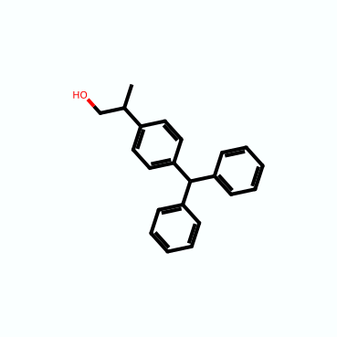 CC(CO)c1ccc(C(c2ccccc2)c2ccccc2)cc1